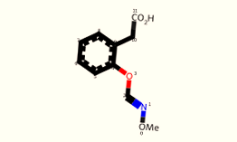 CON=COc1ccccc1CC(=O)O